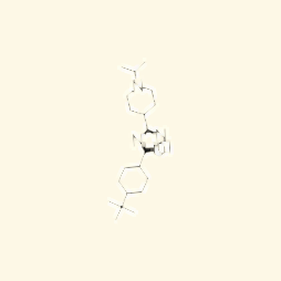 CC(C)N1CCC(c2noc(C3CCC(C(C)(C)C)CC3)n2)CC1.Cl